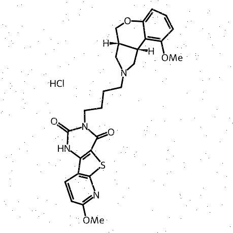 COc1ccc2c(n1)sc1c(=O)n(CCCCN3C[C@@H]4COc5cccc(OC)c5[C@@H]4C3)c(=O)[nH]c12.Cl